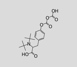 CC(C)(C)N(C(Cc1ccc(OC(=O)OC(=O)O)cc1)C(=O)O)C(C)(C)C